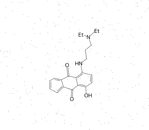 CCN(CC)CCCNc1ccc(O)c2c1C(=O)c1ccccc1C2=O